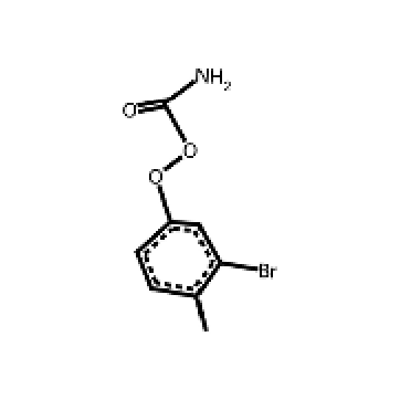 Cc1ccc(OOC(N)=O)cc1Br